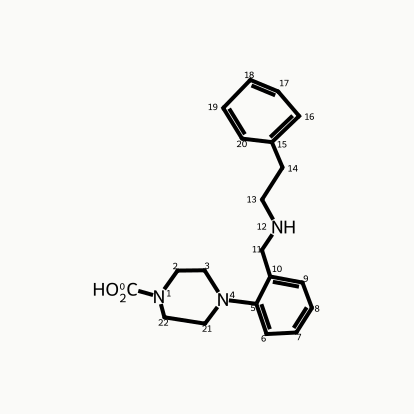 O=C(O)N1CCN(c2ccccc2CNCCc2ccccc2)CC1